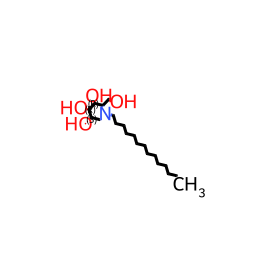 CCCCCCCCCCCCCCN1C[C@H](O)[C@@H](O)[C@H](O)C1CO